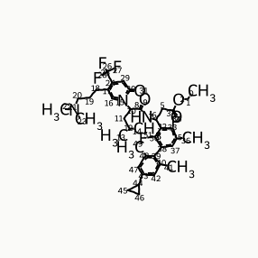 CCOC(=O)CC(NC(=O)C(CC(C)C)n1cc(CCCN(C)C)c(C(F)(F)F)cc1=O)c1c(F)c(C)cc(-c2c(C)cc(C3CC3)cc2C)c1F